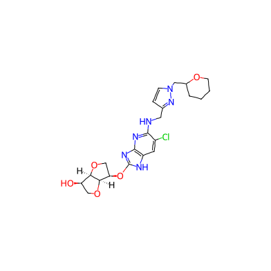 O[C@@H]1CO[C@H]2[C@@H]1OC[C@H]2Oc1nc2nc(NCc3ccn(CC4CCCCO4)n3)c(Cl)cc2[nH]1